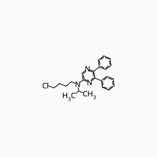 CC(C)N(CCCCCl)c1cnc(-c2ccccc2)c(-c2ccccc2)n1